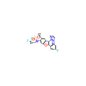 CS(=O)(=O)N(CC1CC1(F)F)c1cc2oc(-c3ccc(F)cc3)c(-c3ncc[nH]3)c2cc1C1CC1